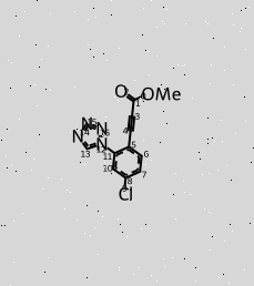 COC(=O)C#Cc1ccc(Cl)cc1-n1cnnn1